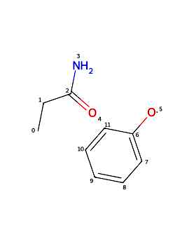 CCC(N)=O.[O]c1ccccc1